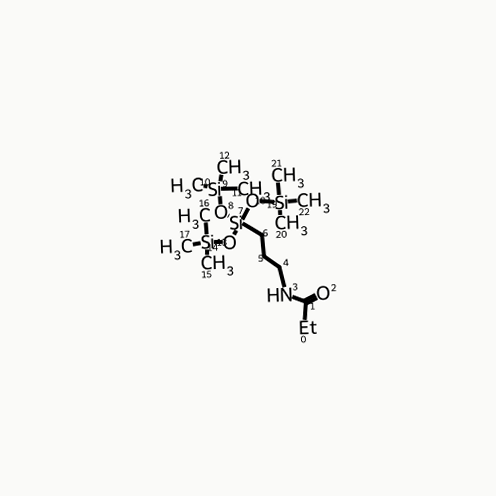 CCC(=O)NCCC[Si](O[Si](C)(C)C)(O[Si](C)(C)C)O[Si](C)(C)C